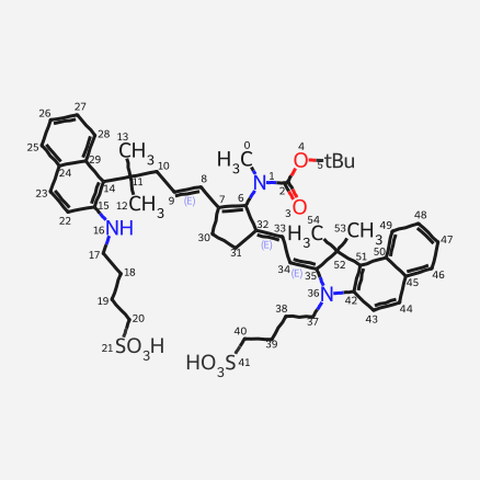 CN(C(=O)OC(C)(C)C)C1=C(/C=C/CC(C)(C)c2c(NCCCCS(=O)(=O)O)ccc3ccccc23)CC/C1=C\C=C1\N(CCCCS(=O)(=O)O)c2ccc3ccccc3c2C1(C)C